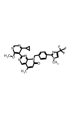 COc1ncnc(C2CC2)c1-c1ncc2c(C)cc(=O)n(Cc3ccc(-c4nc(C(F)(F)F)cn4C)cc3)c2n1